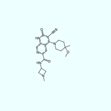 COC1(C)CCN(c2c(C#N)c(=O)[nH]c3cnc(C(=O)NC4CN(C)C4)cc23)CC1